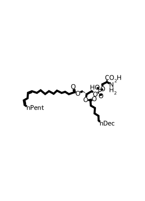 CCCCC/C=C\C/C=C\CCCCCCCCCC(=O)OC[C@H](COP(=O)(O)OC[C@H](N)C(=O)O)OC(=O)CCCCCCCCCCCCCCC